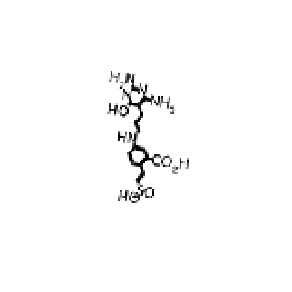 Nc1nc(N)c(CCCNc2ccc(/C=C/S(=O)O)c(C(=O)O)c2)c(O)n1